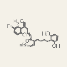 C/C=C(/CCCC(=O)C(/C=C\CCCC)=C/CCCc1c(O)cccc1O)c1cc(CC)ccc1C